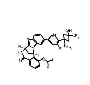 NC1(c2ncc(-c3ccc4nc5n(c4c3)[C@@H]3C[C@H]5NC(=O)c4cccc(OC(F)F)c43)cc2F)CC(O)(C(F)(F)F)C1